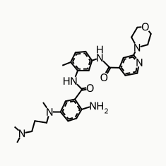 Cc1ccc(NC(=O)c2ccnc(N3CCOCC3)c2)cc1NC(=O)c1cc(N(C)CCCN(C)C)ccc1N